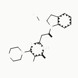 O=C(Cc1nc(N2CCOCC2)c(F)c(=O)[nH]1)N1c2ccccc2C[C@H]1CO